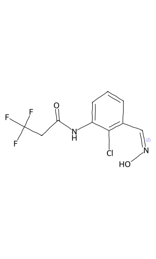 O=C(CC(F)(F)F)Nc1cccc(/C=N\O)c1Cl